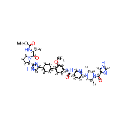 COC(=O)N[C@H](C(=O)N1CCC[C@H]1c1nc(C2=CC=C(c3ccc(NC(=O)c4ccc(N5C[C@H](C)N(C(=O)c6c[nH]cn6)C[C@H]5C)nc4)cc3OC(F)(F)F)CC2)c[nH]1)C(C)C